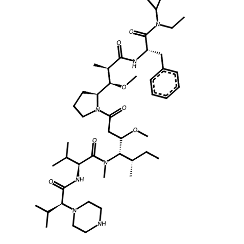 CC[C@H](C)[C@@H](C(CC(=O)N1CCC[C@H]1[C@H](OC)[C@@H](C)C(=O)N[C@@H](Cc1ccccc1)C(=O)N(CC)C1CC1)OC)N(C)C(=O)[C@@H](NC(=O)[C@H](C(C)C)N1CCNCC1)C(C)C